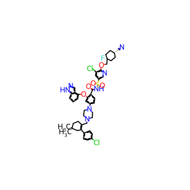 CC1(C)CCC(CN2CCN(c3ccc(C(=O)NS(=O)(=O)c4cnc(OC[C@]5(F)CC[C@@H](C#N)CC5)c(Cl)c4)c(Oc4cccc5[nH]ncc45)c3)CC2)=C(c2ccc(Cl)cc2)C1